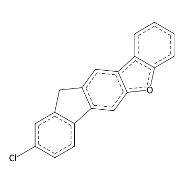 Clc1ccc2c(c1)Cc1cc3c(cc1-2)oc1ccccc13